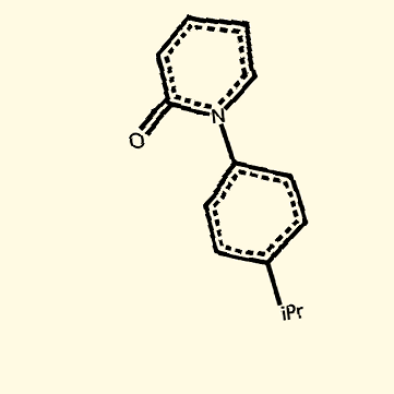 CC(C)c1ccc(-n2ccccc2=O)cc1